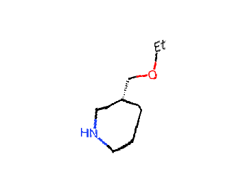 CCOC[C@@H]1CCCNC1